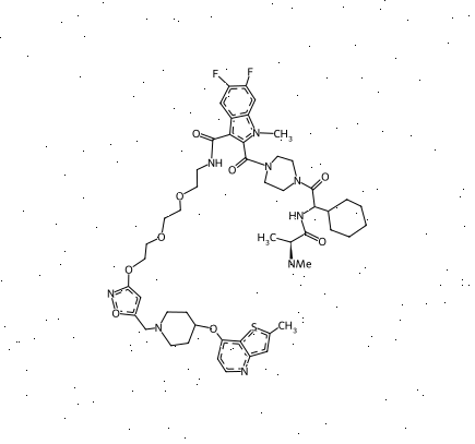 CN[C@@H](C)C(=O)NC(C(=O)N1CCN(C(=O)c2c(C(=O)NCCOCCOCCOc3cc(CN4CCC(Oc5ccnc6cc(C)sc56)CC4)on3)c3cc(F)c(F)cc3n2C)CC1)C1CCCCC1